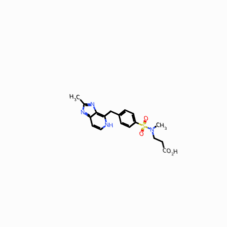 Cc1nc2cc[nH]c(Cc3ccc(S(=O)(=O)N(C)CCC(=O)O)cc3)c-2n1